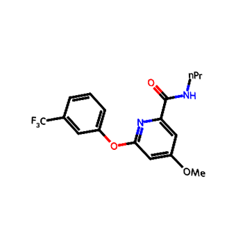 CCCNC(=O)c1cc(OC)cc(Oc2cccc(C(F)(F)F)c2)n1